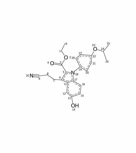 CCOC(=O)c1c(CCC#N)c2cc(O)ccc2n1-c1ccc(OC(C)C)cc1